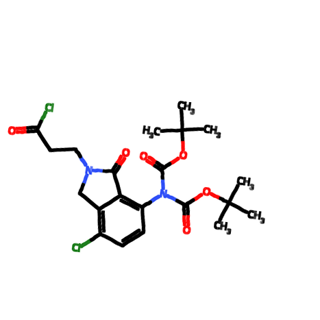 CC(C)(C)OC(=O)N(C(=O)OC(C)(C)C)c1ccc(Cl)c2c1C(=O)N(CCC(=O)Cl)C2